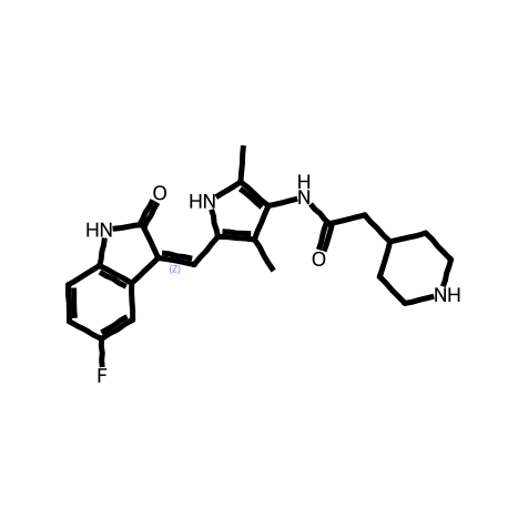 Cc1[nH]c(/C=C2\C(=O)Nc3ccc(F)cc32)c(C)c1NC(=O)CC1CCNCC1